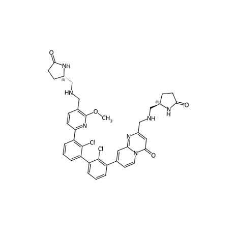 COc1nc(-c2cccc(-c3cccc(-c4ccn5c(=O)cc(CNC[C@H]6CCC(=O)N6)nc5c4)c3Cl)c2Cl)ccc1CNC[C@@H]1CCC(=O)N1